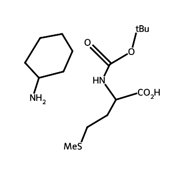 CSCCC(NC(=O)OC(C)(C)C)C(=O)O.NC1CCCCC1